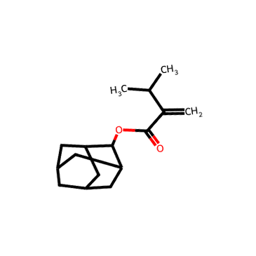 C=C(C(=O)OC1C2CC3CC(C2)CC1C3)C(C)C